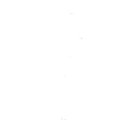 COc1ccccc1CNCCNCCNCCNCc1ccccc1OC